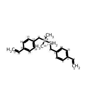 C=Cc1ccc(C[SiH2][Si](C)(C)Cc2ccc(C=C)cc2)cc1